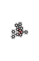 c1ccc(-c2ccc(N(c3cccc(N(c4ccccc4)c4ccccc4)c3)c3ccc4c(c3)C3(c5ccccc5-4)c4ccccc4-c4ccc5cc(-c6ccccc6)ccc5c43)cc2)cc1